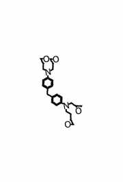 c1cc(N(CCC2CO2)CC2CO2)ccc1Cc1ccc(N(CC2CO2)CC2CO2)cc1